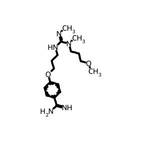 C/N=C(/NCCCOc1ccc(C(=N)N)cc1)N(C)CCCOC